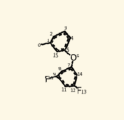 Cc1cccc(Oc2cc(F)cc(F)c2)c1